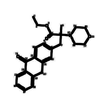 CCOC(=O)C(C)(Cc1ccc2c(=O)c3ccccc3sc2c1)N1CCOCC1